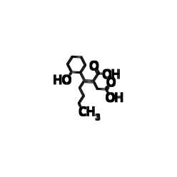 CCCCC(=C(CC(=O)O)C(=O)O)C1CCCCC1O